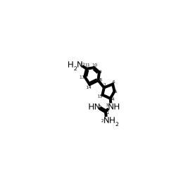 N=C(N)NC1CCC(c2ccc(N)cc2)C1